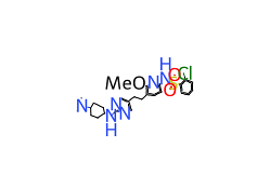 COc1nc(NS(=O)(=O)c2ccccc2Cl)ccc1CCc1cnc(N[C@H]2CC[C@H](N(C)C)CC2)nc1